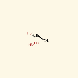 Br.Br.Br.C[SiH3]